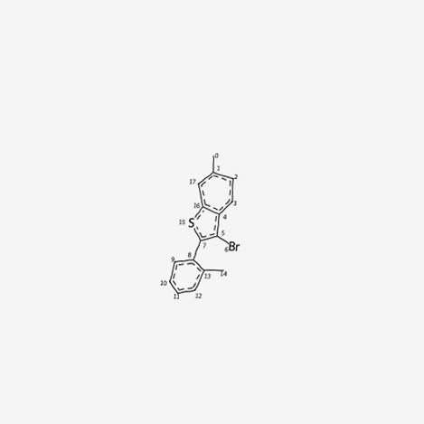 Cc1ccc2c(Br)c(-c3ccccc3C)sc2c1